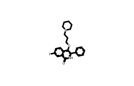 O=c1[nH]c(-c2ccccc2)c(OCCCN2CCCCC2)c2ccc(F)cc12